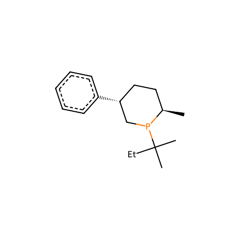 CCC(C)(C)P1C[C@H](c2ccccc2)CC[C@H]1C